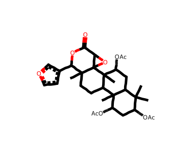 CC(=O)OC1CC(OC(C)=O)C2(C)C(CC(OC(C)=O)C3(C)C2CCC2(C)C(c4ccoc4)OC(=O)C4OC423)C1(C)C